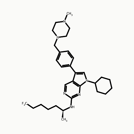 C[C@@H](CCCCC(F)(F)F)Nc1ncc2c(-c3ccc(CN4CCN(C)CC4)cc3)cn(C3CCCCC3)c2n1